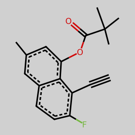 C#Cc1c(F)ccc2cc(C)cc(OC(=O)C(C)(C)C)c12